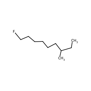 CCC(C)CCCCCCF